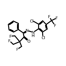 O=C(C(=NNc1c(Cl)cc(C(F)(F)F)cc1Cl)c1ccccc1)C(CF)(CF)CF